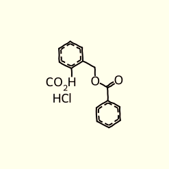 Cl.O=C(OCc1ccccc1C(=O)O)c1ccccc1